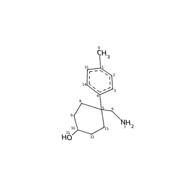 Cc1ccc(C2(CN)CCC(O)CC2)cc1